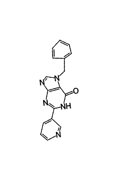 O=c1[nH]c(-c2cccnc2)nc2ncn(Cc3ccccc3)c12